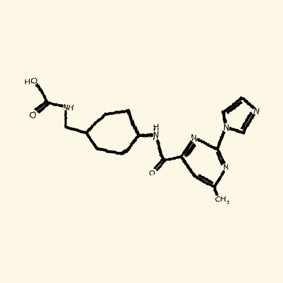 Cc1cc(C(=O)NC2CCC(CNC(=O)O)CC2)nc(-n2ccnc2)n1